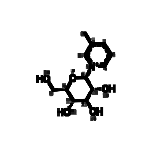 Cc1ccc[n+]([C@@H]2O[C@H](CO)[C@@H](O)[C@H](O)[C@H]2O)c1